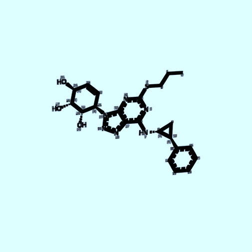 CCCSc1nc(N[C@@H]2C[C@H]2c2ccccc2)c2nnn([C@@H]3C=C[C@H](O)[C@@H](O)[C@H]3O)c2n1